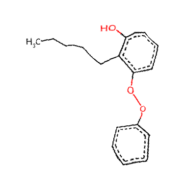 CCCCCc1c(O)cccc1OOc1ccccc1